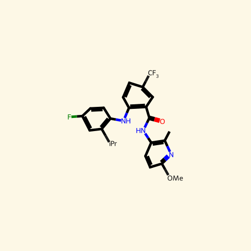 COc1ccc(NC(=O)c2cc(C(F)(F)F)ccc2Nc2ccc(F)cc2C(C)C)c(C)n1